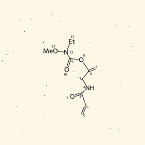 C=CC(=O)NCC(=C)OC(=O)N(CC)OC